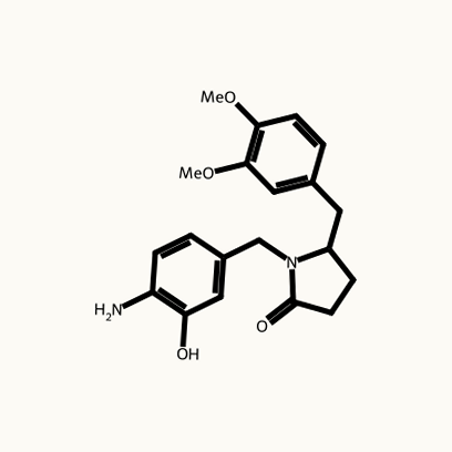 COc1ccc(CC2CCC(=O)N2Cc2ccc(N)c(O)c2)cc1OC